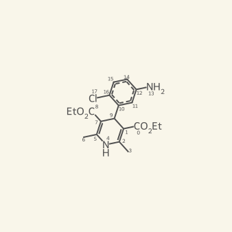 CCOC(=O)C1=C(C)NC(C)=C(C(=O)OCC)C1c1cc(N)ccc1Cl